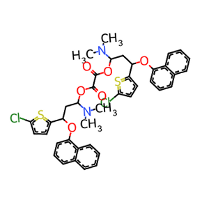 CN(C)C(CC(Oc1cccc2ccccc12)c1ccc(Cl)s1)OC(=O)C(=O)OC(CC(Oc1cccc2ccccc12)c1ccc(Cl)s1)N(C)C